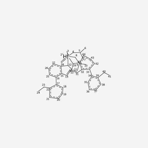 [CH2]=[Hf]([CH3])([CH3])([CH2]C(C)C)([CH2]C(C)C)([CH]1C=Cc2c(-c3ccccc3CC)cccc21)[CH]1C=Cc2c(-c3ccccc3CC)cccc21